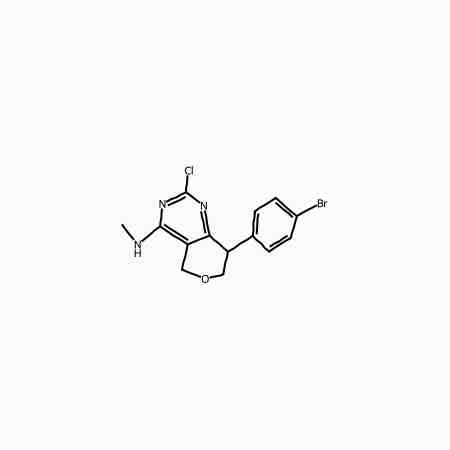 CNc1nc(Cl)nc2c1COCC2c1ccc(Br)cc1